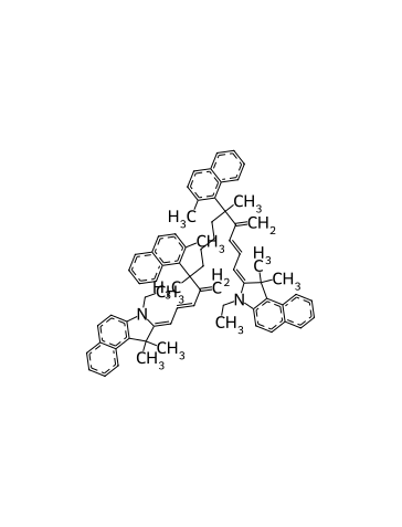 C=C(C=CC=C1N(CC)c2ccc3ccccc3c2C1(C)C)C(C)(CCCCC(C)(C(=C)C=CC=C1N(CC)c2ccc3ccccc3c2C1(C)C)c1c(C)ccc2ccccc12)c1c(C)ccc2ccccc12